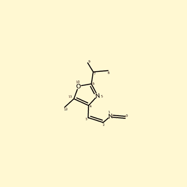 C=N/C=C\c1nc(C(C)C)oc1C